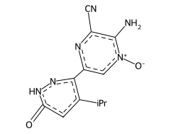 CC(C)c1cc(=O)[nH]nc1-c1c[n+]([O-])c(N)c(C#N)n1